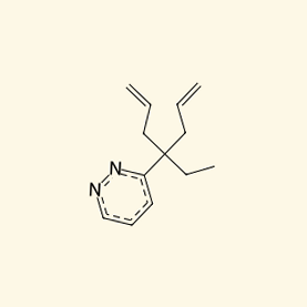 C=CCC(CC)(CC=C)c1cccnn1